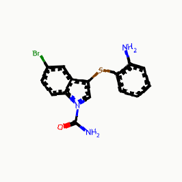 NC(=O)n1cc(Sc2ccccc2N)c2cc(Br)ccc21